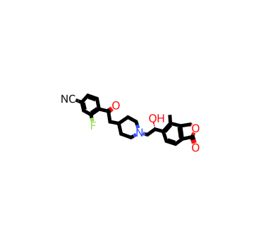 Cc1c([C@@H](O)CN2CCC(CC(=O)c3ccc(C#N)cc3F)CC2)ccc2c1COC2=O